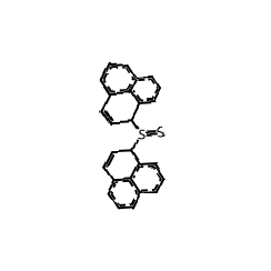 S=S(C1C=Cc2cccc3cccc1c23)C1C=Cc2cccc3cccc1c23